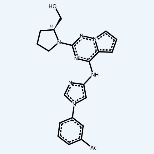 CC(=O)c1cccc(-n2cnc(Nc3nc(N4CCC[C@H]4CO)nn4cccc34)c2)c1